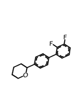 Fc1cccc(-c2ccc(C3CCCCO3)cc2)c1F